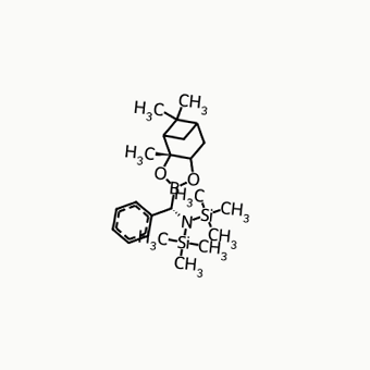 CC1(C)C2CC3OB([C@@H](c4ccccc4)N([Si](C)(C)C)[Si](C)(C)C)O[C@]3(C)C1C2